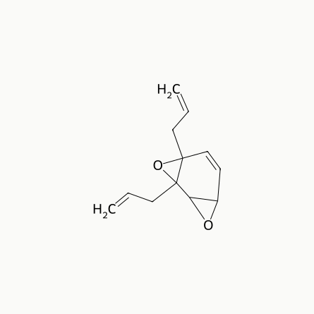 C=CCC12C=CC3OC3C1(CC=C)O2